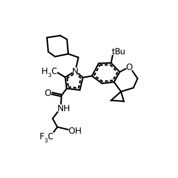 Cc1c(C(=O)NCC(O)C(F)(F)F)cc(-c2cc(C(C)(C)C)c3c(c2)C2(CCO3)CC2)n1CC1CCCCC1